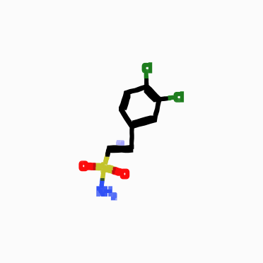 NS(=O)(=O)/C=C/c1ccc(Cl)c(Cl)c1